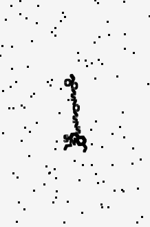 C=CC(=O)OCCSCCOCCSCCSc1cc(=S)n(CCC)c2cc(CC)ccc12